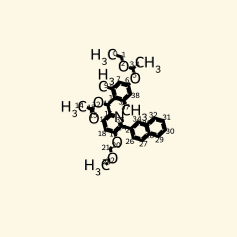 CCOC(C)Oc1cc(C)c(C(OC(C)=O)c2ccc(OCOC)c(-c3ccc4ccccc4c3)n2)c(C)c1